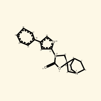 O=C1O[C@]2(CN3CCC2CC3)CN1c1cc(-c2ccccc2)co1